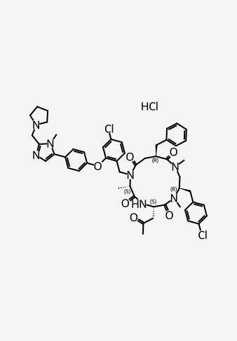 CC(=O)C[C@@H]1NC(=O)[C@H](C)N(Cc2ccc(Cl)cc2Oc2ccc(-c3cnc(CN4CCCC4)n3C)cc2)C(=O)C[C@@H](Cc2ccccc2)C(=O)N(C)C[C@@H](Cc2ccc(Cl)cc2)N(C)C1=O.Cl